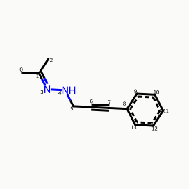 CC(C)=NNCC#Cc1ccccc1